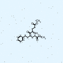 COC(=O)CCC(N)C(=O)C(CCC(=O)OC)CCc1ccccc1